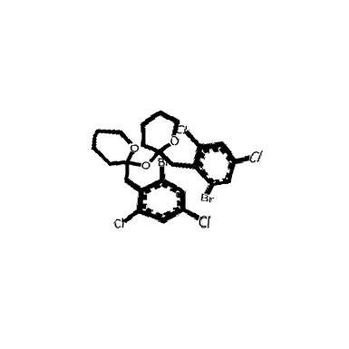 Clc1cc(Cl)c(CC2(OC3(Cc4c(Cl)cc(Cl)cc4Br)CCCCO3)CCCCO2)c(Br)c1